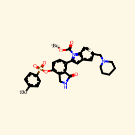 CC(C)(C)OC(=O)n1c(-c2ccc(OS(=O)(=O)c3ccc(C(C)(C)C)cc3)c3c2C(=O)NC3)cc2cc(CN3CCCCC3)ccc21